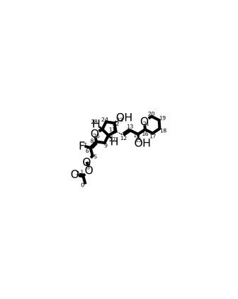 CC(=O)OOC/C(F)=C1\C[C@H]2[C@@H](/C=C/[C@H](O)C3CCCCO3)[C@H](O)C[C@H]2O1